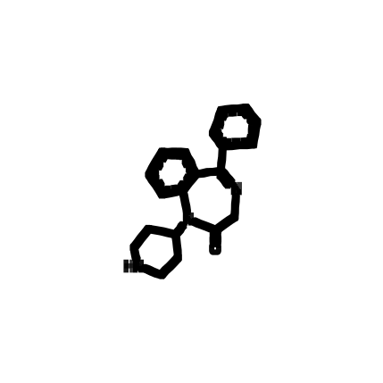 O=C1CN=C(c2ccccc2)c2ccccc2N1C1CCNCC1